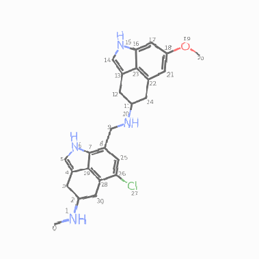 CNC1Cc2c[nH]c3c(CNC4Cc5c[nH]c6cc(OC)cc(c56)C4)cc(Cl)c(c23)C1